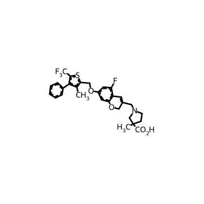 Cc1c(COc2cc(F)c3c(c2)OCC(CN2CCC(C)(C(=O)O)C2)=C3)sc(C(F)(F)F)c1-c1ccccc1